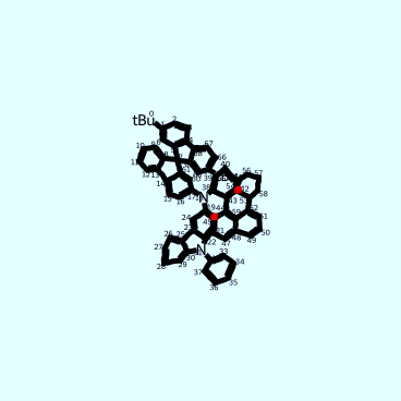 CC(C)(C)c1ccc2c(c1)C1(c3ccccc3-c3ccc(N(c4ccc5c(c4)c4ccccc4n5-c4ccccc4)c4ccccc4-c4cccc5cccc(C6CCCCC6)c45)cc31)c1cc(C(C)(C)C)ccc1-2